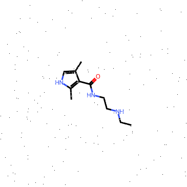 CCNCCNC(=O)c1c(C)c[nH]c1C